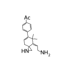 CC(=O)c1ccc(C2=CCC3(CN3)/C(=C\CN)C2(C)C)cc1